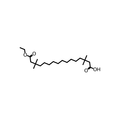 CCOC(=O)CC(C)(C)CCCCCCCCCCC(C)(C)CC(=O)O